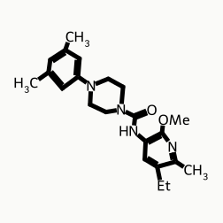 CCc1cc(NC(=O)N2CCN(c3cc(C)cc(C)c3)CC2)c(OC)nc1C